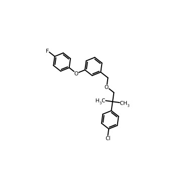 CC(C)(COCc1cccc(Oc2ccc(F)cc2)c1)c1ccc(Cl)cc1